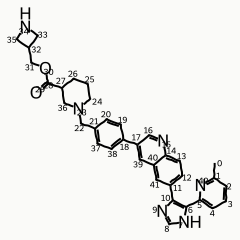 Cc1cccc(-c2[nH]cnc2-c2ccc3ncc(-c4ccc(CN5CCCC(C(=O)OCC6CNC6)C5)cc4)cc3c2)n1